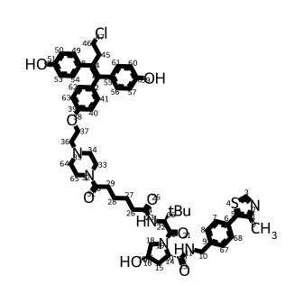 Cc1ncsc1-c1ccc(CNC(=O)[C@@H]2C[C@@H](O)CN2C(=O)[C@@H](NC(=O)CCCCC(=O)N2CCN(CCOc3ccc(C(=C(CCCl)c4ccc(O)cc4)c4ccc(O)cc4)cc3)CC2)C(C)(C)C)cc1